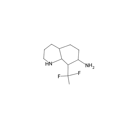 CC(F)(F)C1C(N)CCC2CCCNC21